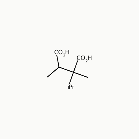 CC(C)C(C)(C(=O)O)C(C)C(=O)O